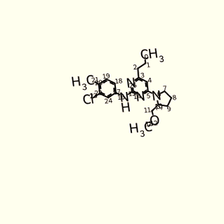 CCCc1cc(N2CCC[C@H]2COC)nc(Nc2ccc(C)c(Cl)c2)n1